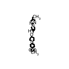 CCc1cnc(N2CC3[C@@H](COC4CCN(c5ccc(S(C)(=O)=O)cc5)CC4)[C@@H]3C2)nc1